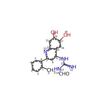 Cc1ccccc1-c1cc(NC(=N)NC=O)c2cc(O)c(O)cc2n1